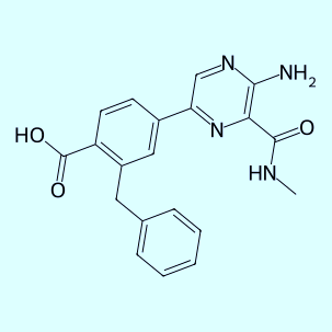 CNC(=O)c1nc(-c2ccc(C(=O)O)c(Cc3ccccc3)c2)cnc1N